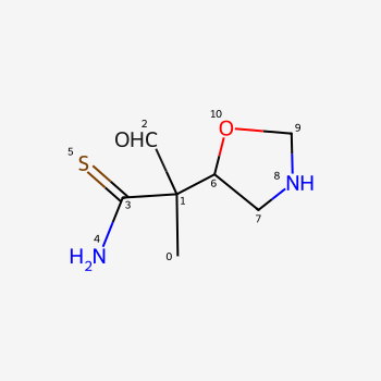 CC(C=O)(C(N)=S)C1CNCO1